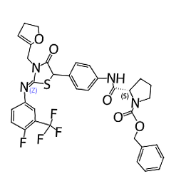 O=C(Nc1ccc(C2S/C(=N\c3ccc(F)c(C(F)(F)F)c3)N(CC3=CCCO3)C2=O)cc1)[C@@H]1CCCN1C(=O)OCc1ccccc1